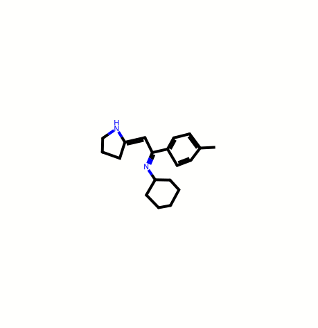 Cc1ccc(C(C=C2CCCN2)=NC2CCCCC2)cc1